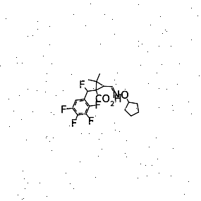 CC1(C)C(C=NOC2CCCC2)C1(C(=O)O)C(F)c1cc(F)c(F)c(F)c1F